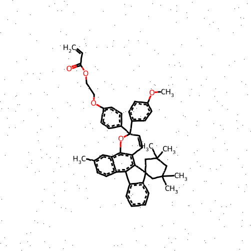 C=CC(=O)OCCOc1ccc(C2(c3ccc(OC)cc3)C=Cc3c4c(c5ccc(C)cc5c3O2)-c2ccccc2C42CC(C)(C)CC(C)(C)C2)cc1